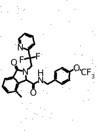 Cc1cccc2c1C(C(=O)NCc1ccc(OC(F)(F)F)cc1)N(CC(F)(F)c1ccccn1)C2=O